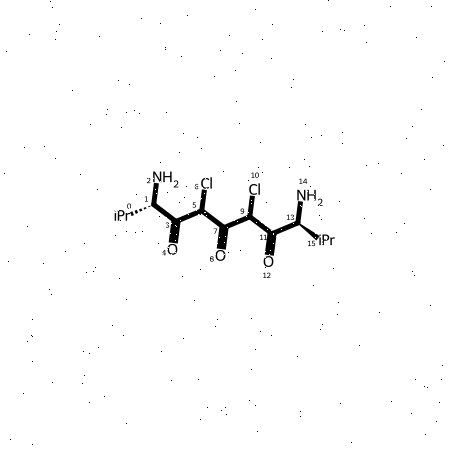 CC(C)[C@H](N)C(=O)C(Cl)C(=O)C(Cl)C(=O)[C@@H](N)C(C)C